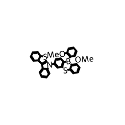 COc1cccc(OC)c1B1c2ccccc2Sc2cc(-n3c4c(c5ccccc53)C3C=CC=CC3S4)ccc21